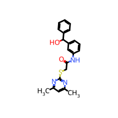 Cc1cc(C)nc(SCC(=O)Nc2cccc(C(O)c3ccccc3)c2)n1